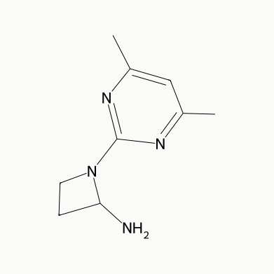 Cc1cc(C)nc(N2CCC2N)n1